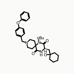 CCCCN1C(=O)[C@@H](CC2(O)CCCCC2)NC(=O)C12CCN(Cc1ccc(Oc3ccccc3)cc1)CC2